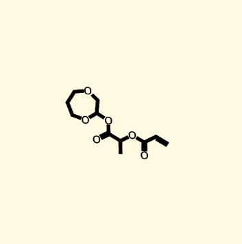 C=CC(=O)OC(C)C(=O)OC1COCCCO1